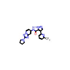 O=C(Nc1ccn2nc(N3CCCC3)nc2c1)c1[nH]ncc1-c1cccc(C(F)(F)F)n1